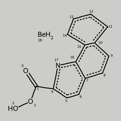 O=C(OO)c1ccc2ccc3ccccc3c2n1.[BeH2]